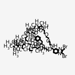 CC[C@H](C)[C@@H]([C@@H](CC(=O)N1CCC[C@H]1[C@H](OC)[C@@H](C)C(=O)N[C@H](CN=[N+]=[N-])Cc1ccc(NC(=O)[C@H](CC(N)=O)NC(=O)[C@H](C)NC(=O)[C@H](C)NC(=O)CCOCCOCCNC(=O)c2ccc3nc(CBr)c(CBr)nc3c2)cc1)OC)N(C)C(=O)[C@@H](NC(=O)[C@H](C(C)C)N(C)C)C(C)C